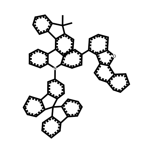 CC1(C)c2ccccc2-c2c(-c3ccccc3N(c3ccc(-c4cccc5oc6c7ccccc7ccc6c45)cc3)c3ccc4c(c3)-c3ccccc3C43c4ccccc4-c4ccccc43)cccc21